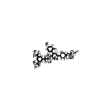 CCOC(=O)CC1(O)CCC(c2cc(-c3ccc(F)cc3C)c(N(C)C(=O)C(C)(C)c3cc(C(F)(F)F)cc(C(F)(F)F)c3)cn2)CC1